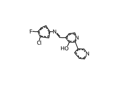 Oc1c(/C=N/c2ccc(F)c(Cl)c2)ccnc1-c1cccnc1